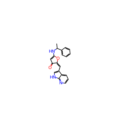 CC(NC1=CC(=O)/C(=C\c2c[nH]c3ncccc23)O1)c1ccccc1